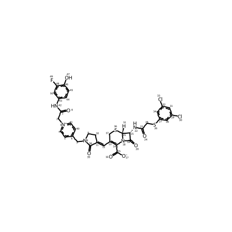 O=C(C[n+]1ccc(CN2CCC(=CC3=C(C(=O)[O-])N4C(=O)[C@@H](NC(=O)CSc5cc(Cl)cc(Cl)c5)[C@H]4SC3)C2=O)cc1)Nc1ccc(O)c(F)c1